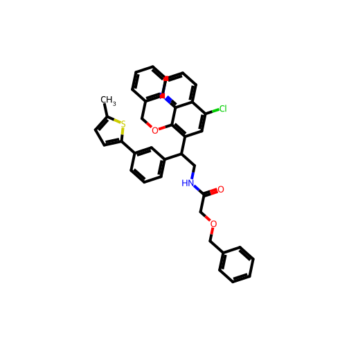 Cc1ccc(-c2cccc(C(CNC(=O)COCc3ccccc3)c3cc(Cl)c4cccnc4c3OCc3ccccc3)c2)s1